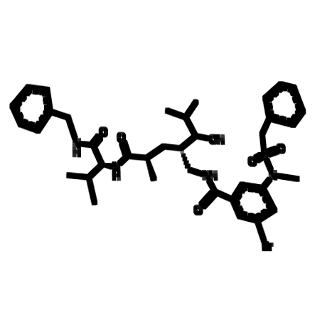 CC(C)C(O)[C@H](CNC(=O)c1cc(Br)cc(N(C)S(=O)(=O)Cc2ccccc2)c1)C[C@@H](C)C(=O)N[C@H](C(=O)NCc1ccccc1)C(C)C